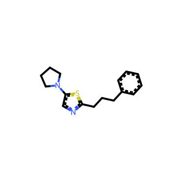 c1ccc(CCCc2ncc(N3CCCC3)s2)cc1